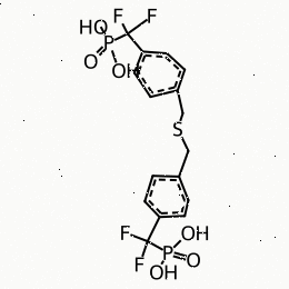 O=P(O)(O)C(F)(F)c1ccc(CSCc2ccc(C(F)(F)P(=O)(O)O)cc2)cc1